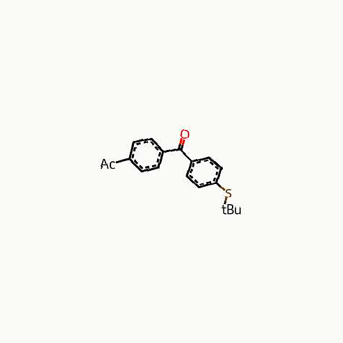 CC(=O)c1ccc(C(=O)c2ccc(SC(C)(C)C)cc2)cc1